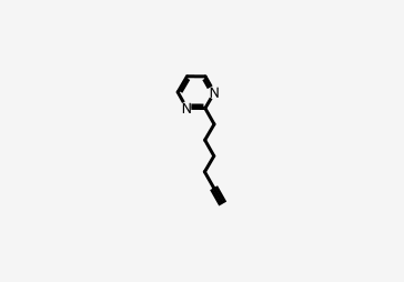 C#CCCCCc1ncccn1